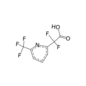 O=C(O)C(F)(F)c1cccc(C(F)(F)F)n1